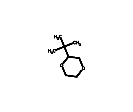 CC(C)(C)C1COCCO1